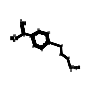 CCCCCCCCCCc1ccc(C(=N)N)cc1